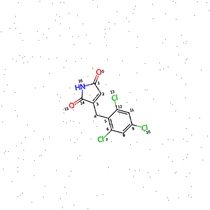 O=C1C=C(Cc2c(Cl)cc(Cl)cc2Cl)C(=O)N1